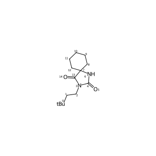 CC(C)(C)CCN1C(=O)NC2(CCCCC2)C1=O